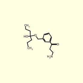 CCCC(O)(CCC)OCc1cccc(C(=O)CCN)c1